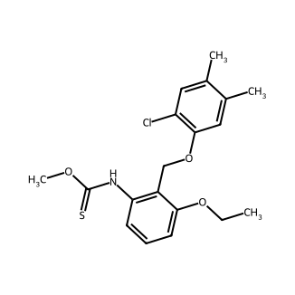 CCOc1cccc(NC(=S)OC)c1COc1cc(C)c(C)cc1Cl